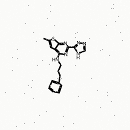 Cc1cc2c(NCCCc3ccccc3)nc(-c3nnc[nH]3)nc2s1